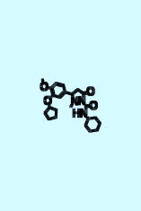 COc1ccc(C2CC(=O)N(C(=O)NC3CCCCC3)N2C)cc1OC1CCCC1